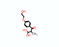 CC(C(=O)c1ccc(OCCO)cc1)C(O)O